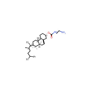 CCC(CC[C@@H](C)[C@@H](CC)[C@@]1(C)CC[C@H]2[C@@H](CC=C3C[C@@H](OC(=O)NCCN)CC[C@@]32C)[C@@H]1C)C(C)C